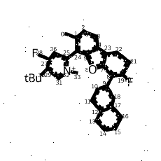 Cc1ccc2c(oc3c(-c4ccc5ccccc5c4)c(F)ccc32)c1-c1cc(F)c(C(C)(C)C)c[n+]1C